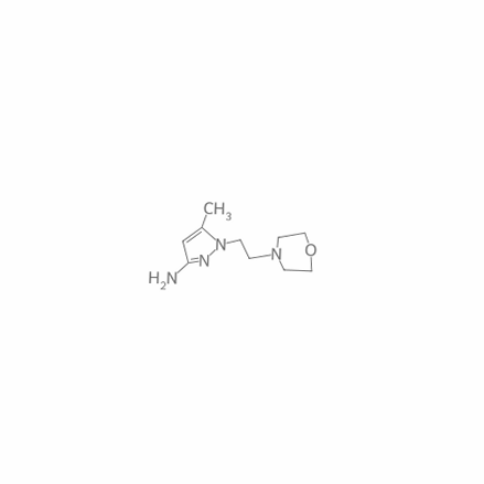 Cc1cc(N)nn1CCN1CCOCC1